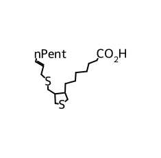 CCCCCC=CCSCC1CSCC1CCCCCCC(=O)O